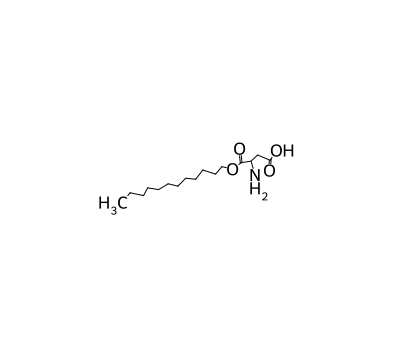 CCCCCCCCCCCCOC(=O)C(N)CC(=O)O